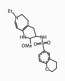 CCN1C=CC2=C(CC1)CC(NS(=O)(=O)c1ccc3c(c1)CCCO3)C(OC)N2